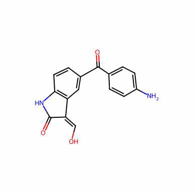 Nc1ccc(C(=O)c2ccc3c(c2)C(=CO)C(=O)N3)cc1